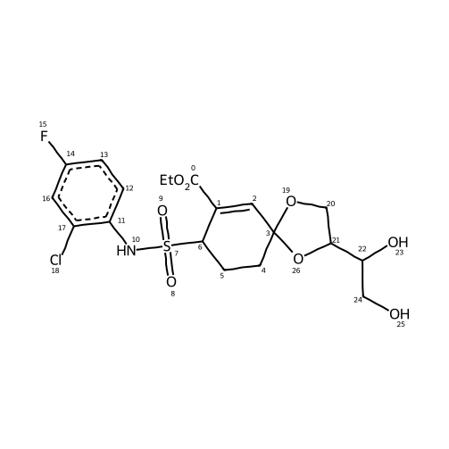 CCOC(=O)C1=CC2(CCC1S(=O)(=O)Nc1ccc(F)cc1Cl)OCC(C(O)CO)O2